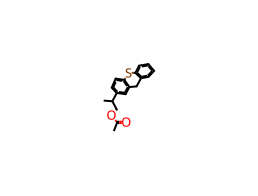 CC(=O)OCC(C)c1ccc2c(c1)Cc1ccccc1S2